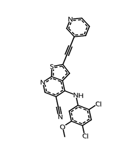 COc1cc(Nc2c(C#N)cnc3sc(C#Cc4cccnc4)cc23)c(Cl)cc1Cl